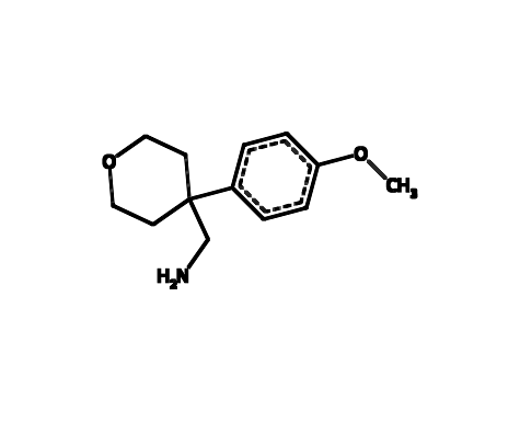 COc1ccc(C2(CN)CCOCC2)cc1